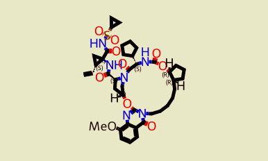 C=C[C@@H]1C[C@]1(NC(=O)[C@@H]1C[C@@H]2CN1C(=O)[C@H](C1CCCC1)NC(=O)O[C@@H]1CCC[C@H]1CCCCCn1c(nc3c(OC)cccc3c1=O)O2)C(=O)NS(=O)(=O)C1CC1